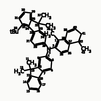 Cc1c(N(c2ccc3c(c2)C(C)(C)c2ccccc2-3)c2ccc3c(c2)C(C)(C)c2cccc(C(C)(C)C)c2-3)ccc2c1C=CCC2C